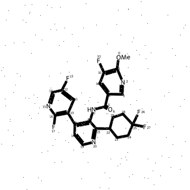 COc1ncc(C(=O)Nc2c(-c3cc(F)cnc3F)ccnc2C2CCC(F)(F)CC2)cc1F